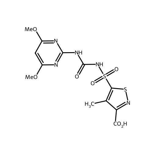 COc1cc(OC)nc(NC(=O)NS(=O)(=O)c2snc(C(=O)O)c2C)n1